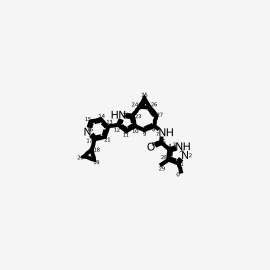 Cc1n[nH]c(C(=O)NC2=Cc3cc(-c4ccnc(C5CC5)c4)[nH]c3C3=CC3=C2)c1C